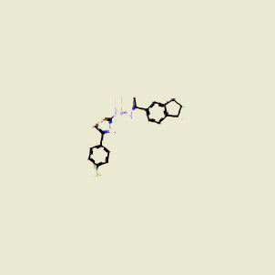 C/C(=N\Nc1nc(-c2ccc(Br)cc2)cs1)c1ccc2c(c1)CCC2